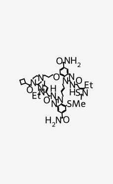 CCc1nc(C)sc1C(=O)Nc1nc2cc(C(N)=O)cc(OCCCN3CCN(C(=O)C4CCC4)CC3)c2n1C/C=C/Cn1c(NC(=O)c2cc(C)nn2CC)nc2cc(C(N)=O)cc(SC)c21